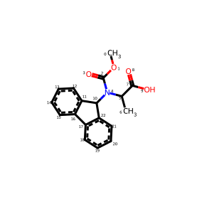 COC(=O)N(C(C)C(=O)O)C1c2ccccc2-c2ccccc21